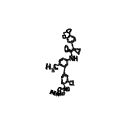 CNS(=O)(=O)c1ccc(-c2cc(NC(=O)C3(c4ccc5c(c4)OCO5)CC3)ccc2C)cc1Cl